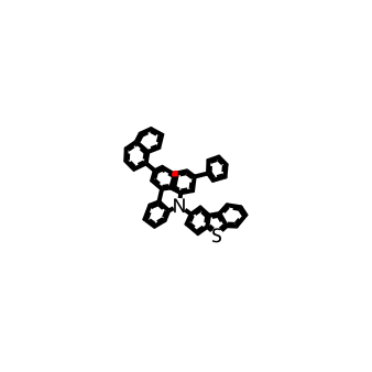 c1ccc(-c2cccc(N(c3ccc4sc5ccccc5c4c3)c3ccccc3-c3cccc(-c4cccc5ccccc45)c3)c2)cc1